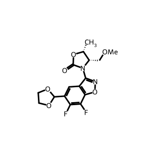 COC[C@H]1[C@@H](C)OC(=O)N1c1noc2c(F)c(F)c(C3OCCO3)cc12